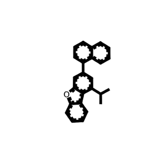 CC(C)c1cc(-c2cccc3ccccc23)cc2oc3ccccc3c12